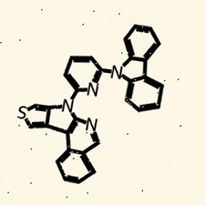 c1cc(-n2c3ccccc3c3ccccc32)nc(-n2c3cscc3c3c4ccccc4cnc32)c1